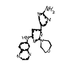 Nc1ncc(-c2cc(Nc3ccc4nccnc4c3)nc(N3CCOCC3)n2)cn1